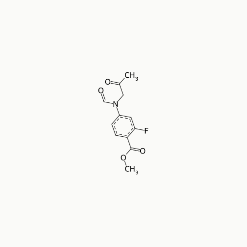 COC(=O)c1ccc(N(C=O)CC(C)=O)cc1F